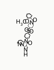 COc1ccccc1C(=O)N1CCC(S(=O)(=O)c2ccc(N(C(=O)C3CNC3)c3cccnn3)cc2)CC1